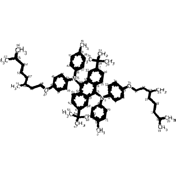 Cc1ccc(N(c2ccc(OCCC(C)CCCC(C)C)cc2)c2c3ccc(C(C)(C)C)cc3c(N(c3ccc(C)cc3)c3ccc(OCCC(C)CCCC(C)C)cc3)c3ccc(C(C)(C)C)cc23)cc1